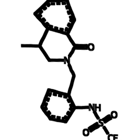 CC1CN(Cc2ccccc2NS(=O)(=O)C(F)(F)F)C(=O)c2ccccc21